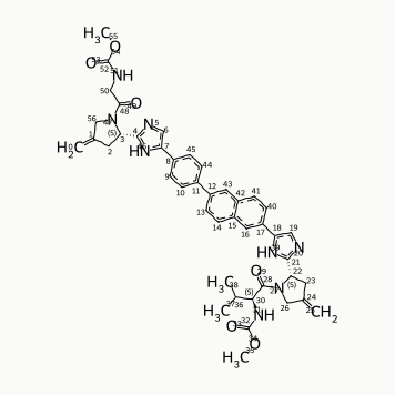 C=C1C[C@@H](c2ncc(-c3ccc(-c4ccc5cc(-c6cnc([C@@H]7CC(=C)CN7C(=O)[C@@H](NC(=O)OC)C(C)C)[nH]6)ccc5c4)cc3)[nH]2)N(C(=O)CNC(=O)OC)C1